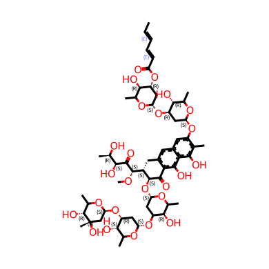 C/C=C/C=C/C(=O)O[C@@H]1C[C@H](O[C@@H]2C[C@H](Oc3cc4cc5c(c(O)c4c(O)c3C)C(=O)[C@@H](O[C@H]3CC(O[C@H]4C[C@@H](O[C@H]6C[C@](C)(O)[C@H](O)C(C)O6)[C@@H](O)C(C)O4)[C@H](O)C(C)O3)[C@H]([C@H](OC)C(=O)[C@@H](O)[C@@H](C)O)C5)OC(C)[C@H]2O)OC(C)[C@H]1O